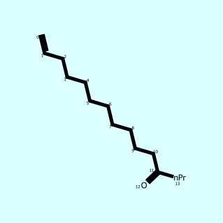 C=CCCCCCCCCCC(=O)CCC